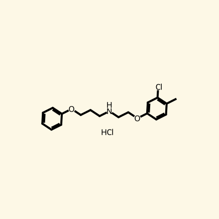 Cc1ccc(OCCNCCCOc2ccccc2)cc1Cl.Cl